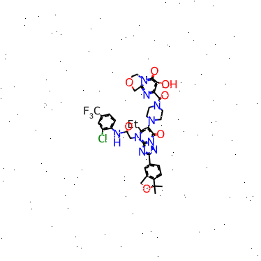 CCc1c(N2CCN(C(=O)c3nc4n(c(=O)c3O)CCOC4)CC2)c(=O)n2nc(-c3ccc4c(c3)COC4(C)C)nc2n1CC(=O)Nc1ccc(C(F)(F)F)cc1Cl